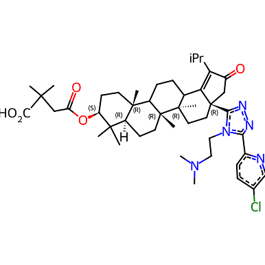 CC(C)C1=C2C3CCC4[C@@]5(C)CC[C@H](OC(=O)CC(C)(C)C(=O)O)C(C)(C)[C@@H]5CC[C@@]4(C)[C@]3(C)CC[C@@]2(c2nnc(-c3ccc(Cl)cn3)n2CCN(C)C)CC1=O